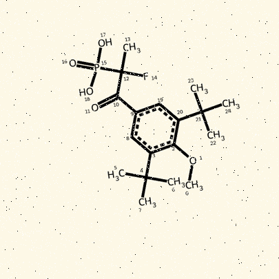 COc1c(C(C)(C)C)cc(C(=O)C(C)(F)P(=O)(O)O)cc1C(C)(C)C